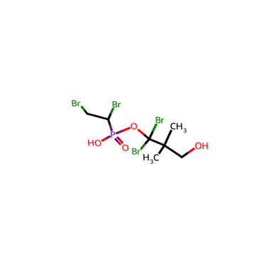 CC(C)(CO)C(Br)(Br)OP(=O)(O)C(Br)CBr